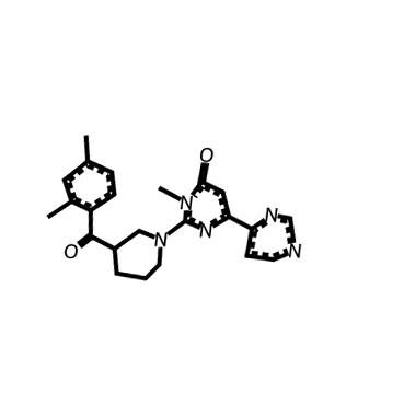 Cc1ccc(C(=O)C2CCCN(c3nc(-c4ccncn4)cc(=O)n3C)C2)c(C)c1